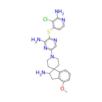 COc1cccc2c1CC(N)C21CCN(c2cnc(Sc3ccnc(N)c3Cl)c(N)n2)CC1